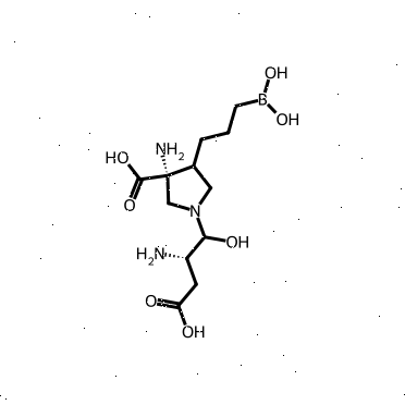 N[C@@H](CC(=O)O)C(O)N1CC(CCCB(O)O)[C@](N)(C(=O)O)C1